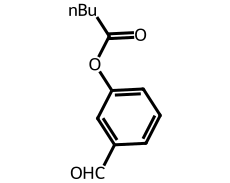 CCCCC(=O)Oc1cccc(C=O)c1